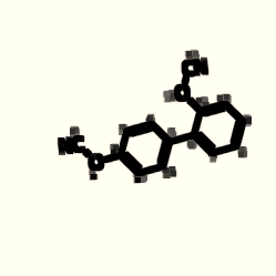 N#COc1ccc(-c2ccccc2OC#N)cc1